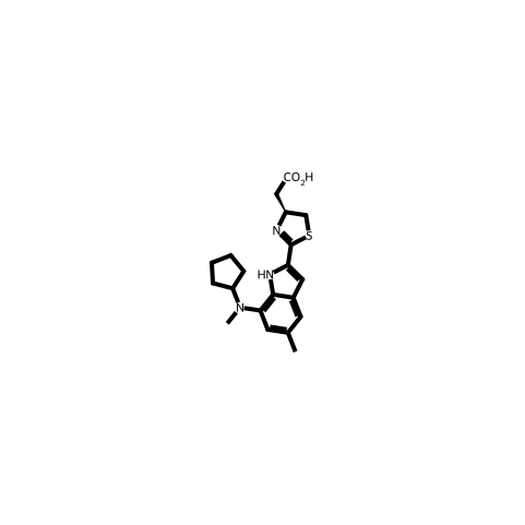 Cc1cc(N(C)C2CCCC2)c2[nH]c(C3=N[C@@H](CC(=O)O)CS3)cc2c1